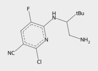 CC(C)(C)C(CN)Nc1nc(Cl)c(C#N)cc1F